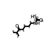 CC(C)C(=O)CCCCNC(=O)S